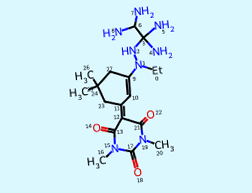 CCN(NC(N)(N)C(N)N)C1=CC(=C2C(=O)N(C)C(=O)N(C)C2=O)CC(C)(C)C1